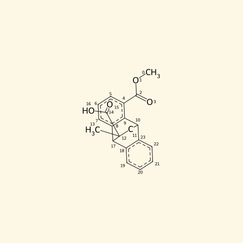 COC(=O)c1cccc2c1C1CC(C)(C(=O)O)C2c2ccccc21